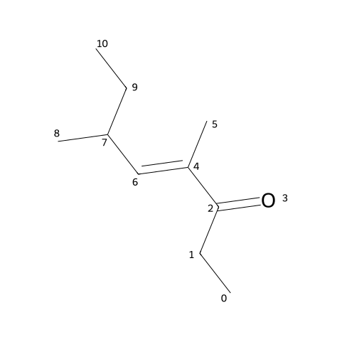 CCC(=O)C(C)=CC(C)CC